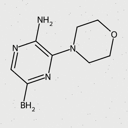 Bc1cnc(N)c(N2CCOCC2)n1